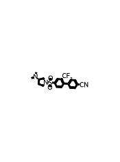 CN(C)[C@@H]1CCN(S(=O)(=O)c2ccc(-c3ccc(C#N)cc3)c(C(F)(F)F)c2)C1